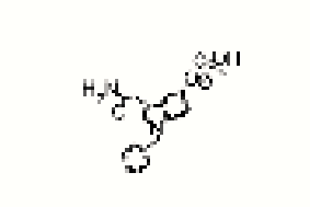 CP(=O)(O)OOc1ccc2c(c1)c(CC(N)=O)cn2Cc1ccccc1